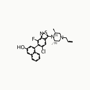 C=CCN1C[C@H](C)N(c2snc3c(F)c(-c4cc(O)cc5ccccc45)c(Cl)cc23)[C@@H](C)C1